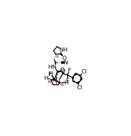 N#C[C@@H](C[C@@H]1CCNC1=O)NC(=O)[C@H]1[C@H]2CC[C@H](CC2(F)F)N1C(=O)C(F)(F)c1cc(Cl)cc(Cl)c1